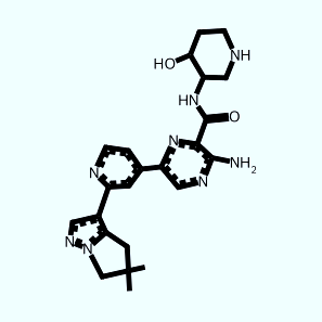 CC1(C)Cc2c(-c3cc(-c4cnc(N)c(C(=O)NC5CNCCC5O)n4)ccn3)cnn2C1